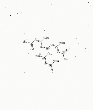 CC(C)(C)C(=O)C=C([O][Bi]([O]C(=CC(=O)C(C)(C)C)C(C)(C)C)[O]C(=CC(=O)C(C)(C)C)C(C)(C)C)C(C)(C)C